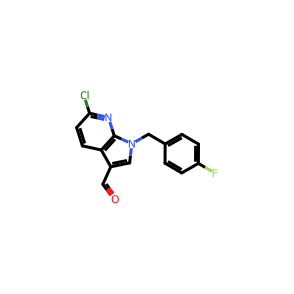 O=Cc1cn(Cc2ccc(F)cc2)c2nc(Cl)ccc12